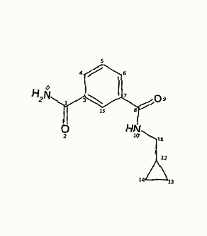 NC(=O)c1cccc(C(=O)NCC2CC2)c1